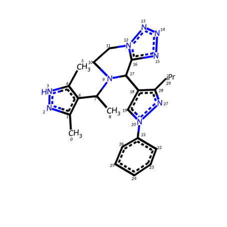 Cc1n[nH]c(C)c1C(C)N1CCn2nnnc2C1c1cn(-c2ccccc2)nc1C(C)C